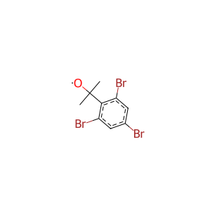 CC(C)([O])c1c(Br)cc(Br)cc1Br